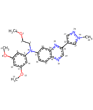 COCCN(c1cc(OC)cc(OC)c1)c1ccc2ncc(-c3cnn(C)c3)nc2c1